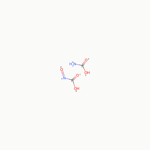 NC(=O)O.O=NC(=O)O